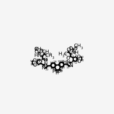 COC(=O)N[C@H](C(=O)C1CC2(C[C@H]1c1ncc(-c3ccc4c(c3)C(F)(F)C(F)(F)c3cc(-c5cnc(C6CC7(CN6C(=O)[C@@H](NC(=O)OC)C(C)C)OCCO7)[nH]5)ccc3-4)[nH]1)OCCO2)C(C)C